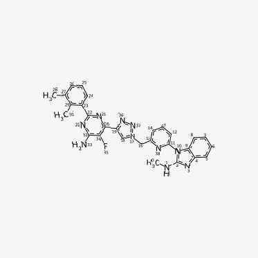 CNc1nc2ccccc2n1-c1cccc(Cn2cc(-c3nc(-c4cccc(C)c4C)nc(N)c3F)nn2)n1